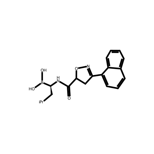 CC(C)C[C@H](NC(=O)C1CC(c2cccc3ccccc23)=NO1)B(O)O